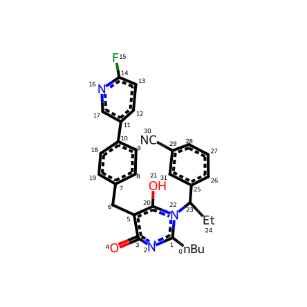 CCCCc1nc(=O)c(Cc2ccc(-c3ccc(F)nc3)cc2)c(O)n1C(CC)c1cccc(C#N)c1